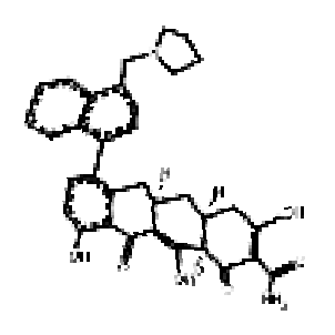 NC(=O)C1=C(O)C[C@@H]2C[C@@H]3Cc4c(-c5ccc(CN6CCCC6)c6ccccc56)ccc(O)c4C(=O)C3=C(O)[C@]2(O)C1=O